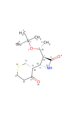 C[C@@H](O[Si](C)(C)C(C)(C)C)[C@H]1C(=O)N[C@@H]1[C@H]1CSCCC1=O